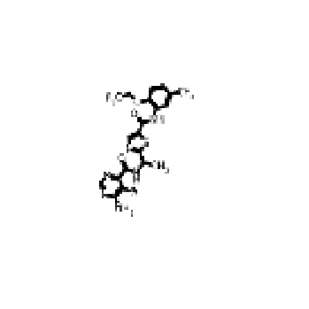 CC(NC(=O)c1ncnc(N)c1Br)c1ncc(C(=O)Nc2cc(C(F)(F)F)ccc2OCC(F)(F)F)s1